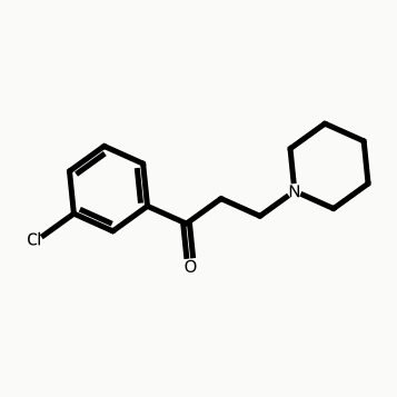 O=C(CCN1CCCCC1)c1cccc(Cl)c1